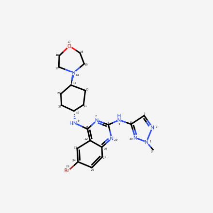 Cn1ncc(Nc2nc(N[C@H]3CC[C@H](N4CCOCC4)CC3)c3cc(Br)ccc3n2)n1